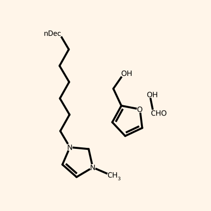 CCCCCCCCCCCCCCCCN1C=CN(C)C1.O=CO.OCc1ccco1